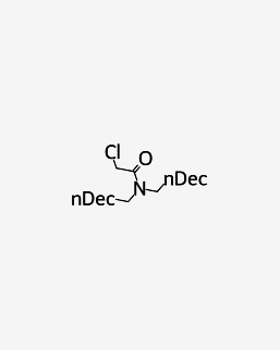 CCCCCCCCCCCN(CCCCCCCCCCC)C(=O)CCl